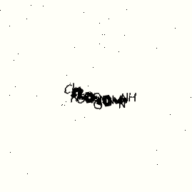 O=C(Oc1ccc(Oc2ccc(Cl)cn2)cc1)N1CCN(CCc2c[nH]cn2)CC1